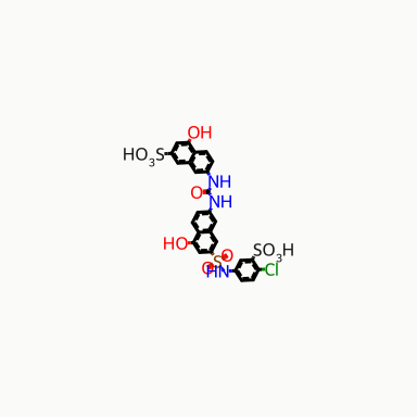 O=C(Nc1ccc2c(O)cc(S(=O)(=O)O)cc2c1)Nc1ccc2c(O)cc(S(=O)(=O)Nc3ccc(Cl)c(S(=O)(=O)O)c3)cc2c1